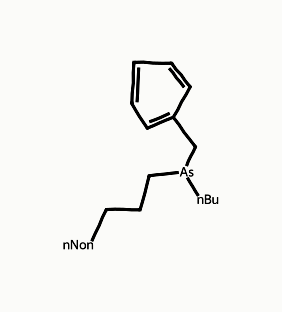 CCCCCCCCCCCC[As](CCCC)Cc1ccccc1